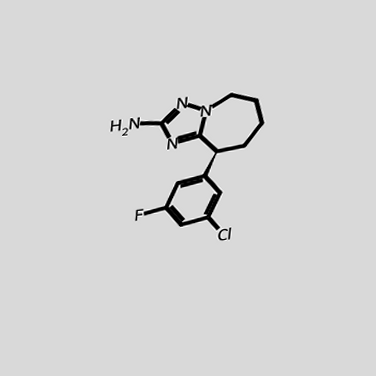 Nc1nc2n(n1)CCCC[C@H]2c1cc(F)cc(Cl)c1